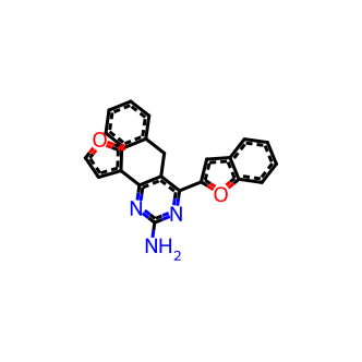 Nc1nc(-c2ccoc2)c(Cc2ccccc2)c(-c2cc3ccccc3o2)n1